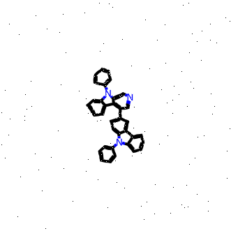 c1ccc(-n2c3ccccc3c3cc(-c4cncc5c4c4ccccc4n5-c4ccccc4)ccc32)cc1